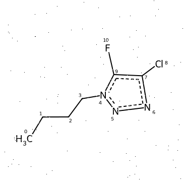 CCCCn1nnc(Cl)c1F